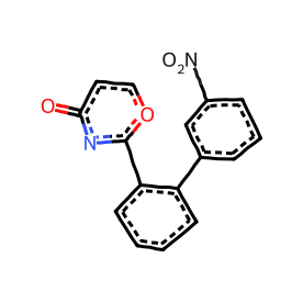 O=c1ccoc(-c2ccccc2-c2cccc([N+](=O)[O-])c2)n1